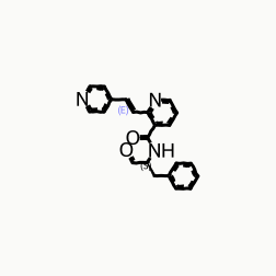 O=C[C@H](Cc1ccccc1)NC(=O)c1cccnc1/C=C/c1ccncc1